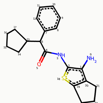 Nc1c(NC(=O)C(c2ccccc2)C2CCCC2)sc2c1CCC2